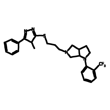 CC1C(SCCCN2CC3CCN(c4ccccc4C(F)(F)F)C3C2)=NN=C1c1ccccc1